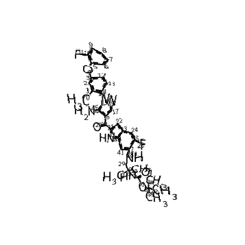 Cc1cc(Oc2ccccc2F)ccc1-n1ncc(C(=O)c2cc3cc(F)c(NCC(C)(C)NC(=O)OC(C)(C)C)cc3[nH]2)c1N